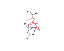 C=C(C)C(=O)OOP(=O)(O)C1(C)CCC(C)CC1